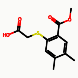 COC(=O)c1cc(C)c(C)cc1SCC(=O)O